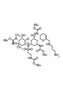 CN(C(=O)OC(C)(C)C)[C@@H]1[C@@H](O)[C@@H](O[C@H]2[C@H](NS(=O)(=O)CCNC(=O)OC(C)(C)C)C[C@H](NC(=O)OC(C)(C)C)C([C@H]3OC(CNCCCN)=CC[C@H]3NC(=O)OC(C)(C)C)[C@@H]2O)OC[C@]1(C)O